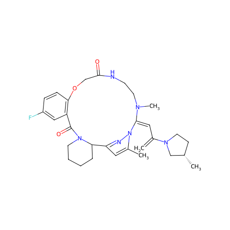 C=C(/C=C1/N(C)CCNC(=O)COc2ccc(F)cc2C(=O)N2CCCCC2c2cc(C)n1n2)N1CC[C@H](C)C1